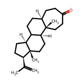 C=C(C)[C@H]1CC[C@H]2C3CC[C@H]4CCC(=O)CC[C@]4(C)[C@H]3CC[C@]12C